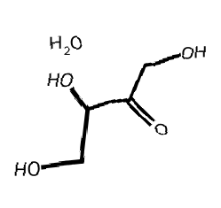 O.O=C(CO)C(O)CO